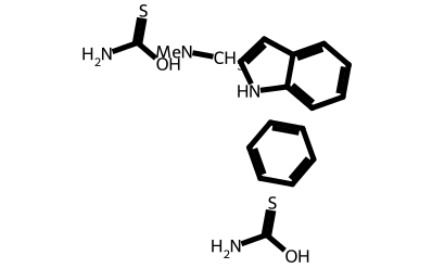 CNC.NC(O)=S.NC(O)=S.c1ccc2[nH]ccc2c1.c1ccccc1